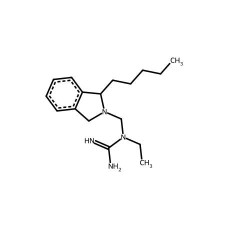 CCCCCC1c2ccccc2CN1CN(CC)C(=N)N